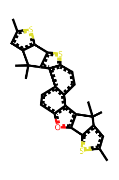 Cc1cc2c(s1)-c1oc3ccc4c(ccc5sc6c(c54)C(C)(C)c4cc(C)sc4-6)c3c1C2(C)C